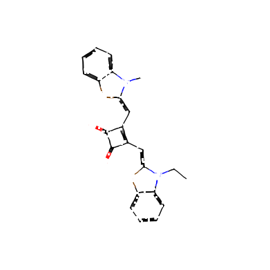 CCN1/C(=C/c2c(/C=C3\Sc4ccccc4N3C)c(=O)c2=O)Sc2ccccc21